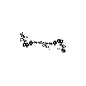 N#C[C@@H]1CC(F)(F)CN1C(=O)CNC(=O)c1ccnc2ccc(-c3ccc(OCCOCCOCCN(CCOCCOc4ccc(-c5ccc6nccc(C(=O)NCC(=O)N7CC(F)(F)C[C@H]7C#N)c6c5)cc4)C(=O)CN)cc3)cc12